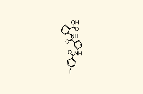 O=C(Nc1cccc(C(=O)Nc2ccccc2C(=O)O)c1)c1ccc(I)cc1